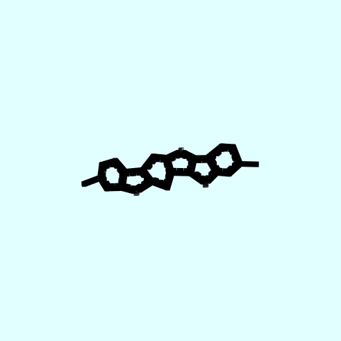 Cc1ccc2c(c1)sc1cc3c(cc12)sc1c2ccc(C)cc2sc31